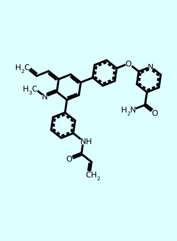 C=C/C=C1/C=C(c2ccc(Oc3cc(C(N)=O)ccn3)cc2)C=C(c2cccc(NC(=O)C=C)c2)/C1=N/C